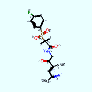 CN/C(=C\C(=N)C(C)(C)C)C(=O)CNC(=O)C(C)(C)S(=O)(=O)c1ccc(F)cc1